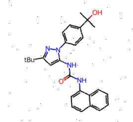 CC(C)(C)c1cc(NC(=O)Nc2cccc3ccccc23)n(-c2ccc(C(C)(C)O)cc2)n1